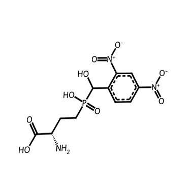 N[C@@H](CCP(=O)(O)C(O)c1ccc([N+](=O)[O-])cc1[N+](=O)[O-])C(=O)O